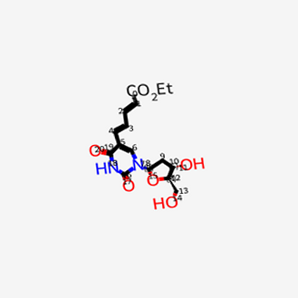 CCOC(=O)C=CC=Cc1cn([C@H]2C[C@H](O)[C@@H](CO)O2)c(=O)[nH]c1=O